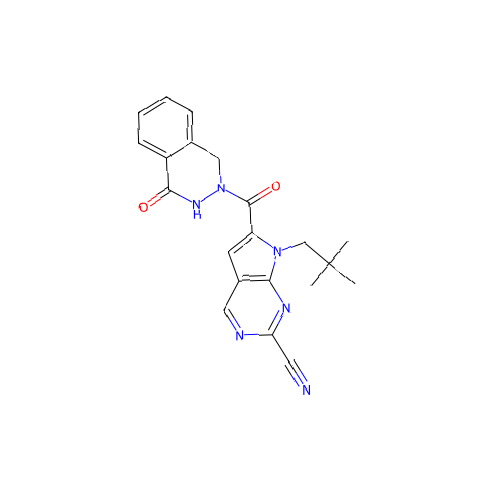 CC(C)(C)Cn1c(C(=O)N2Cc3ccccc3C(=O)N2)cc2cnc(C#N)nc21